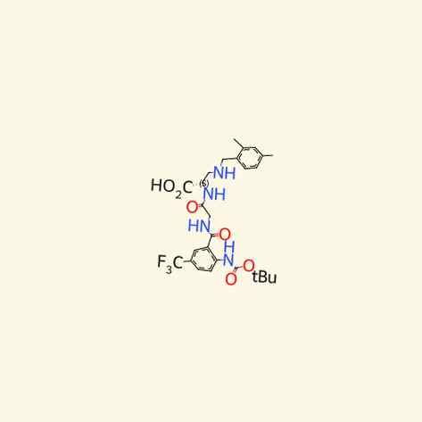 Cc1ccc(CNC[C@H](NC(=O)CNC(=O)c2cc(C(F)(F)F)ccc2NC(=O)OC(C)(C)C)C(=O)O)c(C)c1